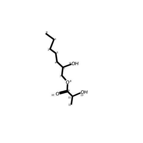 CCCCCC(O)COC(=O)C(C)O